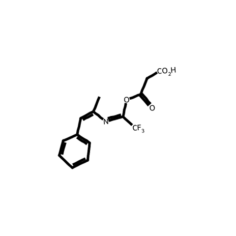 CC(=Cc1ccccc1)N=C(OC(=O)CC(=O)O)C(F)(F)F